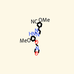 COc1cc(Nc2nccc(-c3ccc(OC)c(C#N)c3)n2)cc(OCCN2CCOCC2)c1